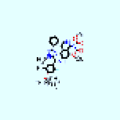 CCc1cc(C(Nc2ccc3c(N(C(=O)OC(C)(C)C)C(=O)OC(C)(C)C)nccc3c2)c2nc(-c3ccccc3)nn2C)c(F)cc1O[Si](C)(C)C(C)(C)C